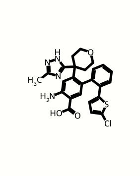 Cc1n[nH]c(C2(c3cc(N)c(C(=O)O)cc3-c3ccccc3-c3ccc(Cl)s3)CCOCC2)n1